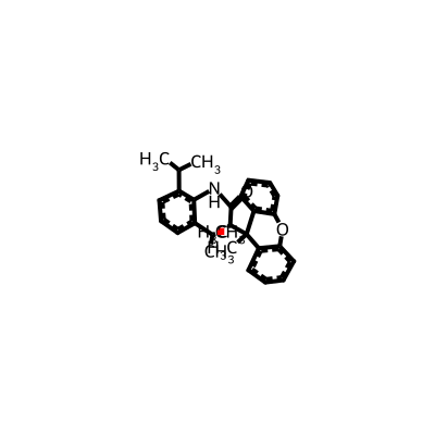 CC(C)c1cccc(C(C)C)c1NC(=O)C(C)C1(C)c2ccccc2Oc2ccccc21